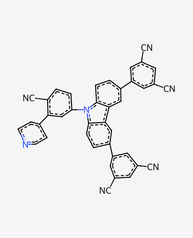 N#Cc1cc(C#N)cc(-c2ccc3c(c2)c2cc(-c4cc(C#N)cc(C#N)c4)ccc2n3-c2ccc(C#N)c(-c3ccncc3)c2)c1